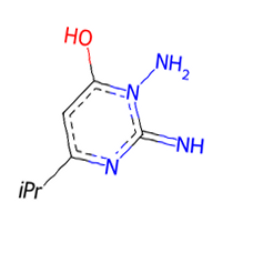 CC(C)c1cc(O)n(N)c(=N)n1